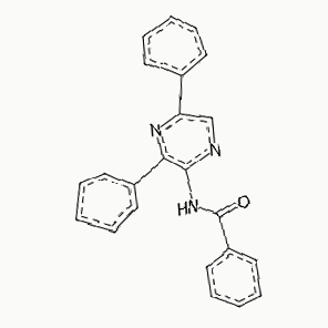 O=C(Nc1ncc(-c2ccccc2)nc1-c1ccccc1)c1ccccc1